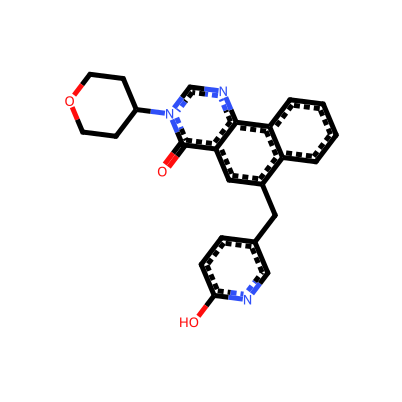 O=c1c2cc(Cc3ccc(O)nc3)c3ccccc3c2ncn1C1CCOCC1